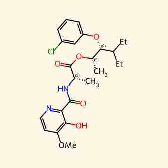 CCC(CC)[C@@H](Oc1cccc(Cl)c1)[C@H](C)OC(=O)[C@H](C)NC(=O)c1nccc(OC)c1O